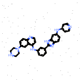 c1cc(Nc2ccnc3ccc(N4CCNCC4)cc23)cc(-c2nc3ccc(Nc4ccncc4)cc3[nH]2)c1